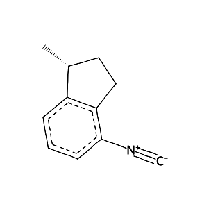 [C-]#[N+]c1cccc2c1CC[C@H]2C